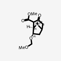 COCO[C@@H]1CC2CC(=O)C(C(=O)OC)[C@H]1N2C